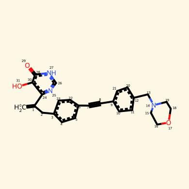 C=C(Cc1ccc(C#Cc2ccc(CN3CCOCC3)cc2)cc1)c1nc[nH]c(=O)c1O